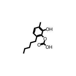 CCCCCc1ccc(C)c(O)c1OC(=O)O